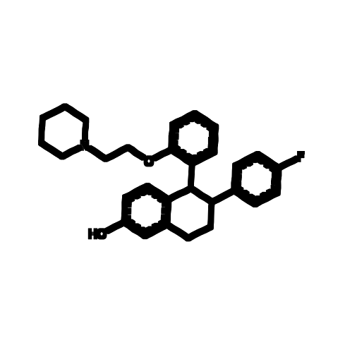 Oc1ccc2c(c1)CCC(c1ccc(F)cc1)C2c1ccccc1OCCN1CCCCC1